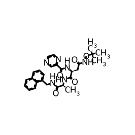 C[C@H](NC(=O)[C@H](CC(=O)NOC(C)(C)C)NC(=O)c1cnccn1)C(=O)NCc1cccc2ccccc12